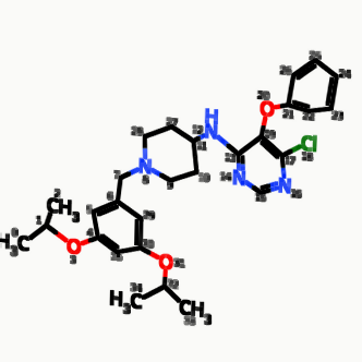 CC(C)Oc1cc(CN2CCC(Nc3ncnc(Cl)c3Oc3ccccc3)CC2)cc(OC(C)C)c1